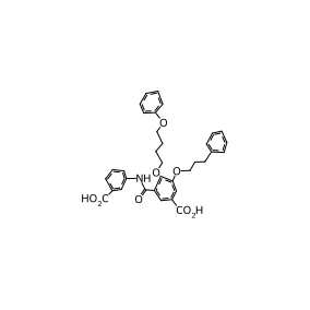 O=C(O)c1cccc(NC(=O)c2cc(C(=O)O)cc(OCCCc3ccccc3)c2OCCCCOc2ccccc2)c1